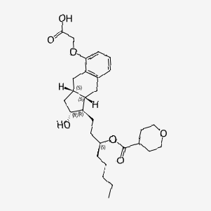 CCCCC[C@@H](CC[C@@H]1[C@H]2Cc3cccc(OCC(=O)O)c3C[C@H]2C[C@H]1O)OC(=O)C1CCOCC1